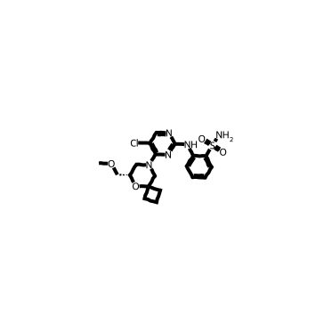 COC[C@@H]1CN(c2nc(Nc3ccccc3S(N)(=O)=O)ncc2Cl)CC2(CCC2)O1